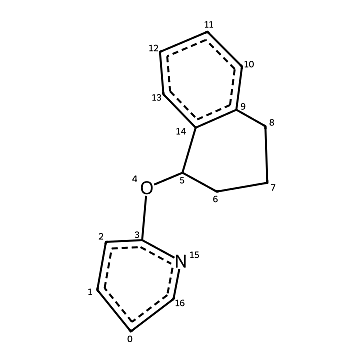 c1ccc(OC2CCCc3ccccc32)nc1